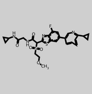 COCCS(=O)(=O)C(C(=O)NCC(=O)NC1CC1)c1nc2c(F)cc(C3=C/N=C(C4CC4)\C=C\C=C\3)cc2s1